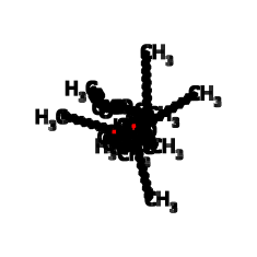 CCCCCCCCCCCCCCCCC(C)CC(C(=O)OCCOc1ccc(C(=O)CC(=O)c2ccc(C)cc2)cc1)C(C(=O)O)C(CCCCCCCCCCCCCCCC)CC1C(=O)N(CC(C)C)C(=O)C1C(CCCCCCCCCCCCCCCC)CC(C(=O)NCC(C)C)C(C(=O)O)C(CCCCCCCCCCCCCCCC)CC1C(=O)OC(=O)C1C